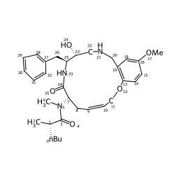 CCCC[C@H](C)C(=O)N(C)[C@H]1C/C=C\COc2ccc(OC)cc2CNC[C@@H](O)[C@H](Cc2ccccc2)NC1=O